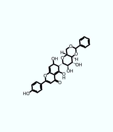 O=c1cc(-c2ccc(O)cc2)oc2c1=C(O)C([C@@H]1O[C@@H]3COC(c4ccccc4)O[C@H]3[C@H](O)[C@H]1O)C(O)C=2